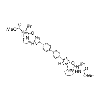 COC(=O)N[C@H](C(=O)N1CCC[C@H]1c1ncc(-c2ccc(-c3ccc(-c4cnc([C@@H]5CCCC[C@H]5C(=O)N(NC(=O)OC)C(C)C)[nH]4)cc3)cc2)[nH]1)C(C)C